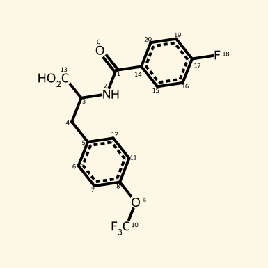 O=C(NC(Cc1ccc(OC(F)(F)F)cc1)C(=O)O)c1ccc(F)cc1